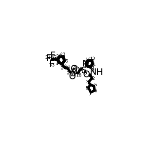 O=C(CCC1CCCC1)Nc1cccnc1SCCS(=O)(=O)CC=Cc1cccc(C(F)(F)F)c1